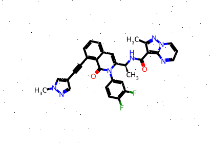 Cc1nn2cccnc2c1C(=O)N[C@@H](C)c1cc2cccc(C#Cc3cnn(C)c3)c2c(=O)n1-c1ccc(F)c(F)c1